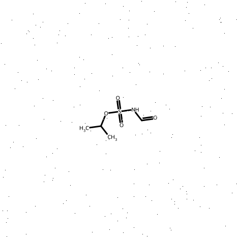 CC(C)OS(=O)(=O)NC=O